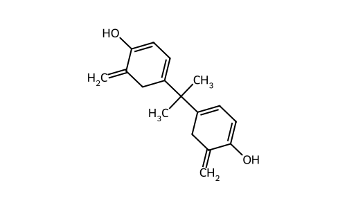 C=C1CC(C(C)(C)C2=CC=C(O)C(=C)C2)=CC=C1O